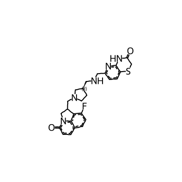 O=C1CSc2ccc(CNC[C@H]3CCN(CC4Cn5c(=O)ccc6ccc(F)c4c65)C3)nc2N1